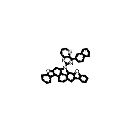 c1ccc2cc(-c3nc(-n4c5cc6oc7ccccc7c6c6ccc7cc8c9ccccc9oc8c4c7c65)nc4cccnc34)ccc2c1